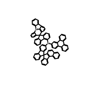 c1ccc2c(c1)-c1ccc(N(c3ccc4c5ccccc5c5ccccc5c4c3)c3cccc4c3-c3ccccc3C43c4ccccc4-n4c5ccccc5c5cccc3c54)cc1C21c2ccccc2-c2c1ccc1ccccc21